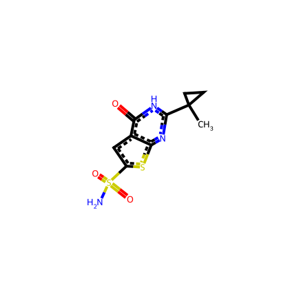 CC1(c2nc3sc(S(N)(=O)=O)cc3c(=O)[nH]2)CC1